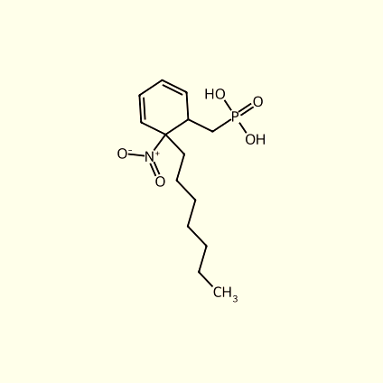 CCCCCCCC1([N+](=O)[O-])C=CC=CC1CP(=O)(O)O